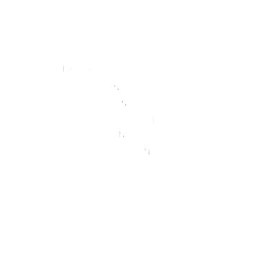 CCN(Cc1cc(Br)ccc1NCc1ccccc1)c1ccc(C(=O)O)nn1